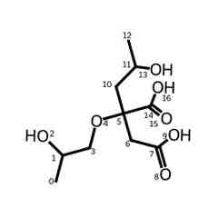 CC(O)COC(CC(=O)O)(CC(C)O)C(=O)O